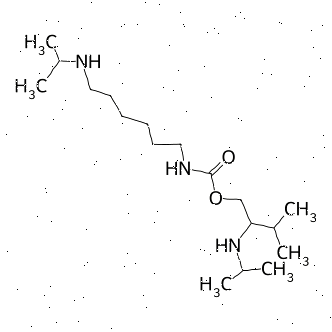 CC(C)NCCCCCCNC(=O)OCC(NC(C)C)C(C)C